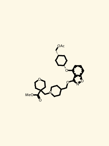 COC(=O)C1(CN2CCC(COc3noc4cccc(O[C@H]5CC[C@@H](COC(C)=O)CC5)c34)CC2)CCOCC1